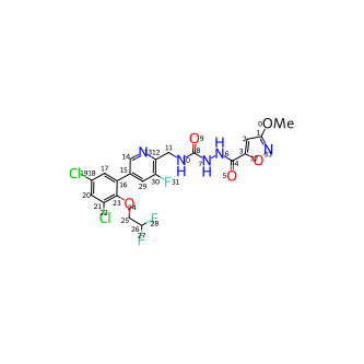 COc1cc(C(=O)NNC(=O)NCc2ncc(-c3cc(Cl)cc(Cl)c3OCC(F)F)cc2F)on1